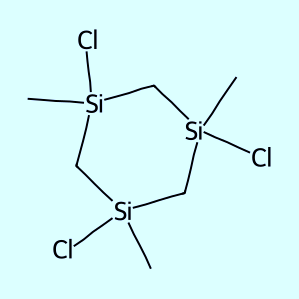 C[Si]1(Cl)C[Si](C)(Cl)C[Si](C)(Cl)C1